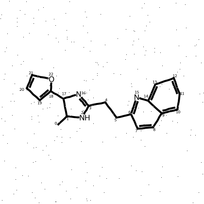 CC1NC(CCc2ccc3ccccc3n2)=NC1c1ccco1